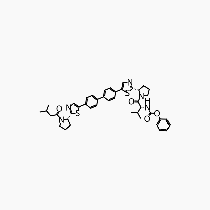 CC(C)CC(=O)N1CCC[C@H]1c1ncc(-c2ccc(-c3ccc(-c4cnc([C@@H]5CCCN5C(=O)[C@H](NC(=O)Oc5ccccc5)C(C)C)s4)cc3)cc2)s1